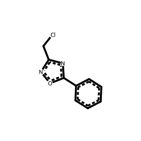 ClCc1noc(-c2ccccc2)n1